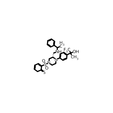 CC(NC[C@H]1CN(S(=O)(=O)C2=CC=CCC2=S)CCN1c1ccc(C(C)(O)C(F)(F)F)cc1)c1ccccc1